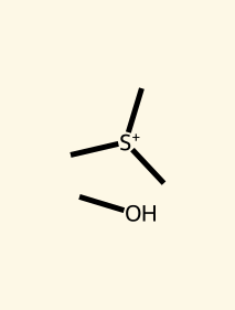 CO.C[S+](C)C